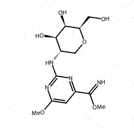 COC(=N)c1cc(OC)nc(N[C@H]2CO[C@H](CO)[C@H](O)[C@@H]2O)n1